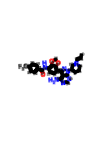 CC=CN1CCC[C@@H](n2nc(-c3ccc(NC(=O)c4ccc(C(F)(F)F)cc4)c4c3OCO4)c3c(N)ncnc32)C1